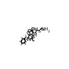 CC(=O)N[C@H](Cc1ccccc1)C(=O)N[C@@H](CCCCN)C(=O)O